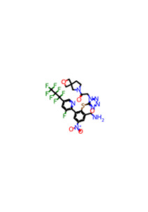 NC(=O)c1cc([N+](=O)[O-])cc(-c2ncc(C(F)(F)C(F)(F)C(F)(F)F)cc2F)c1Sc1nnnn1CC(=O)N1CCC2(COC2)C1